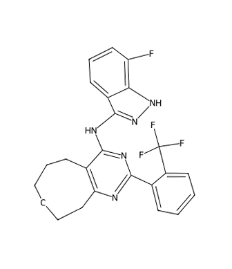 Fc1cccc2c(Nc3nc(-c4ccccc4C(F)(F)F)nc4c3CCCCCC4)n[nH]c12